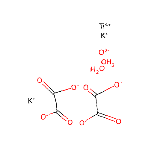 O.O.O=C([O-])C(=O)[O-].O=C([O-])C(=O)[O-].[K+].[K+].[O-2].[Ti+4]